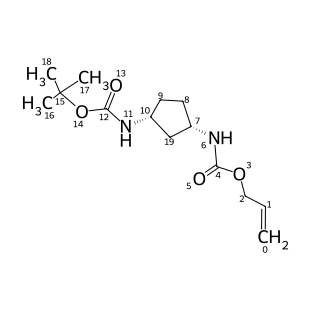 C=CCOC(=O)N[C@H]1CC[C@@H](NC(=O)OC(C)(C)C)C1